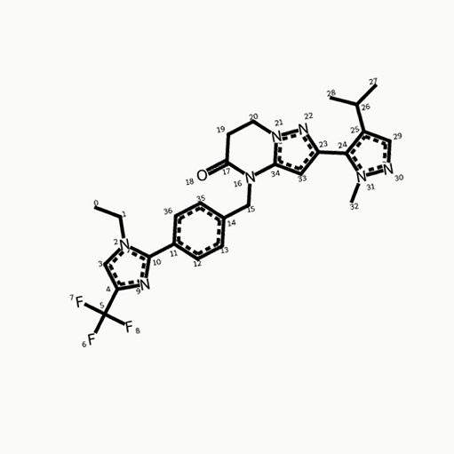 CCn1cc(C(F)(F)F)nc1-c1ccc(CN2C(=O)CCn3nc(-c4c(C(C)C)cnn4C)cc32)cc1